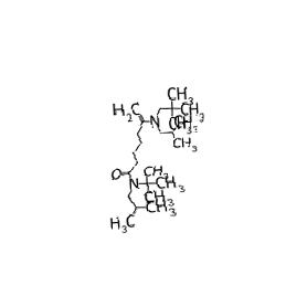 C=C(CCCCC(=O)N(CC(C)C)C(C)(C)C)N(CC(C)C)CC(C)(C)C